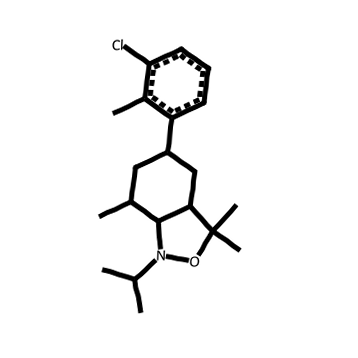 Cc1c(Cl)cccc1C1CC(C)C2C(C1)C(C)(C)ON2C(C)C